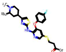 COC(=O)CCSc1cnc(Nc2nc(C3CCN(C(=O)O)C(C(C)(C)C)C3)cs2)c(Oc2ccc(F)cc2)c1